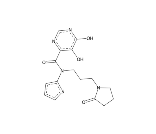 O=C1CCCN1CCCN(C(=O)c1ncnc(O)c1O)c1cccs1